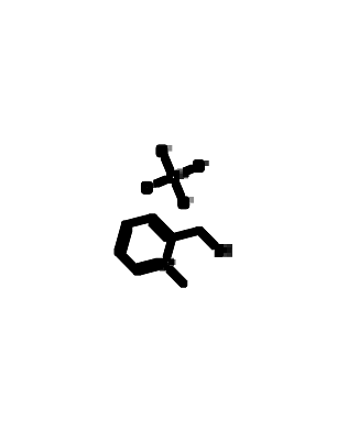 C[n+]1ccccc1CS.[O-][Cl+3]([O-])([O-])[O-]